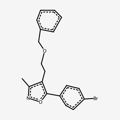 Cc1noc(-c2ccc(Br)cc2)c1CCOCc1ccccc1